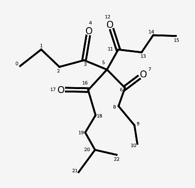 CCCC(=O)C(C(=O)CCC)(C(=O)CCC)C(=O)CCC(C)C